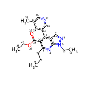 CCCc1nc2c(cnn2CC)c(-c2cncc(C)c2)c1C(=O)OCC